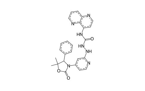 CC1(C)OC(=O)N(c2ccnc(NNC(=O)Nc3ccnc4cccnc34)c2)C1c1ccccc1